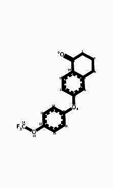 O=C1CCCc2cc(Oc3ccc(OC(F)(F)F)cc3)ccc21